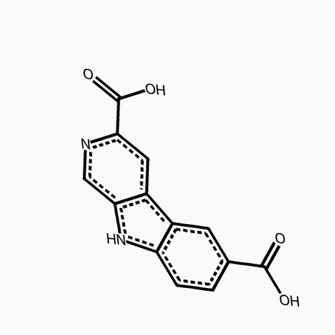 O=C(O)c1ccc2[nH]c3cnc(C(=O)O)cc3c2c1